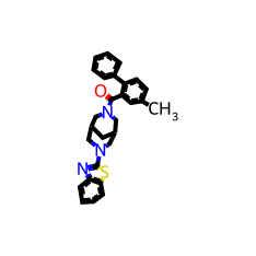 Cc1ccc(-c2ccccc2)c(C(=O)N2CC3CC(C2)CN(c2nc4ccccc4s2)C3)c1